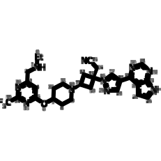 CCNCc1cc(OC2CCN([C@H]3C[C@](CC#N)(n4cc(-c5ncnc6[nH]ccc56)cn4)C3)CC2)nc(C(F)(F)F)n1